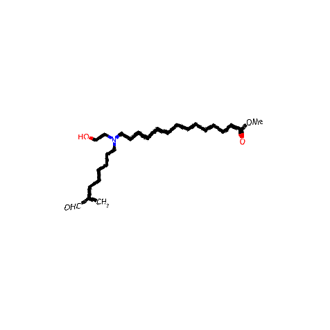 COC(=O)CCCCCCCCCCCCCN(CCO)CCCCCCC(C)C=O